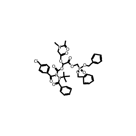 CC(=O)N(C)CC(=O)OC(OC(=O)N(C(=O)c1ccc(Cl)cc1)N(C(=O)c1ccccc1)C(C)(C)C)C(=O)OCP(=O)(OCc1ccccc1)OCc1ccccc1